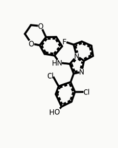 Oc1cc(Cl)c(-c2nc3cccc(F)n3c2Nc2ccc3c(c2)OCCO3)c(Cl)c1